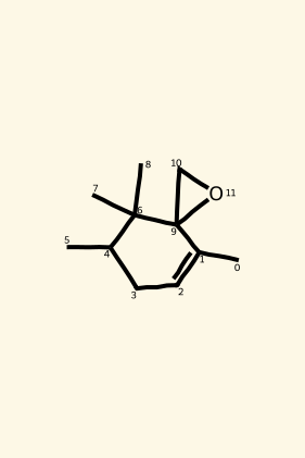 CC1=CCC(C)C(C)(C)C12CO2